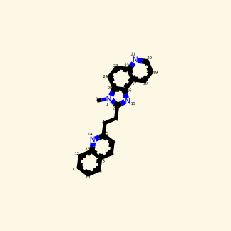 Cn1c(CCc2ccc3ccccc3n2)nc2c3cccnc3ccc21